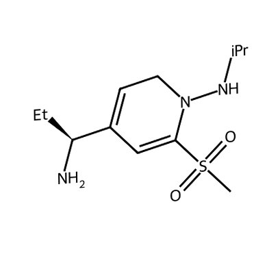 CC[C@H](N)C1=CCN(NC(C)C)C(S(C)(=O)=O)=C1